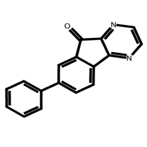 O=C1c2cc(-c3ccccc3)ccc2-c2nccnc21